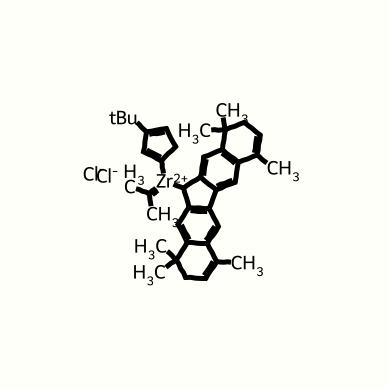 CC1=CCC(C)(C)c2cc3c(cc21)-c1cc2c(cc1[CH]3[Zr+2]([C]1=CC(C(C)(C)C)=CC1)=[C](C)C)C(C)(C)CC=C2C.[Cl-].[Cl-]